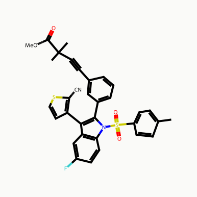 COC(=O)C(C)(C)C#Cc1cccc(-c2c(-c3ccsc3C#N)c3cc(F)ccc3n2S(=O)(=O)c2ccc(C)cc2)c1